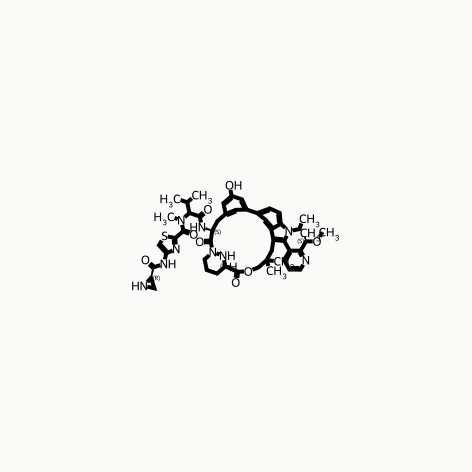 CCn1c(-c2cccnc2[C@H](C)OC)c2c3cc(ccc31)-c1cc(O)cc(c1)C[C@H](NC(=O)C(C(C)C)N(C)C(=O)c1nc(NC(=O)[C@H]3CN3)cs1)C(=O)N1CCC[C@H](N1)C(=O)OCC(C)(C)C2